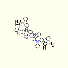 CC1(C)c2ccccc2-c2ccc(N(c3ccccc3)c3ccc4c5c3c3ccccc3n5c3ccc(N(c5ccc6c(c5)C(C)(C)c5ccccc5-6)c5ccc6oc7ccccc7c6c5)c5c6ccccc6n4c53)cc21